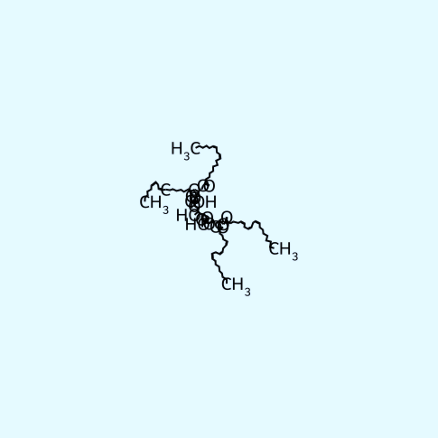 CCCCC/C=C\C/C=C\CCCCCCCC(=O)OC[C@H](COP(=O)(O)OCC(O)COP(=O)(O)OC[C@@H](COC(=O)CCC/C=C\C/C=C\C/C=C\CCCCCCCC)OC(=O)CCC/C=C\C/C=C\C/C=C\CCCCCCCC)OC(=O)CCCCCCC/C=C\C/C=C\CCCCC